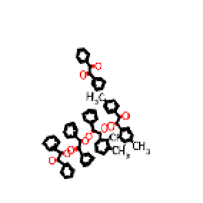 Cc1ccc(C(=O)C(=O)c2ccc(C)cc2)cc1.Cc1cccc(C(=O)C(=O)c2ccccc2)c1C.O=C(C(=O)c1ccccc1)c1ccccc1.O=C(C(=O)c1ccccc1)c1ccccc1.O=C(C(=O)c1ccccc1)c1ccccc1